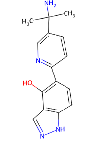 CC(C)(N)c1ccc(-c2ccc3[nH]ncc3c2O)nc1